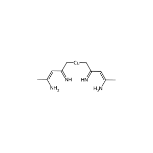 CC(N)=CC(=N)[CH2][Cu][CH2]C(=N)C=C(C)N